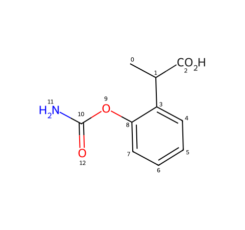 CC(C(=O)O)c1ccccc1OC(N)=O